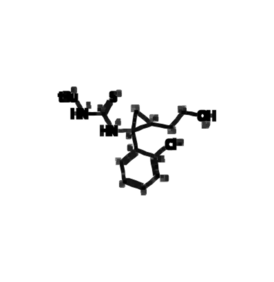 CC(C)(C)NC(=S)NC1(c2ccccc2Cl)CC1CCO